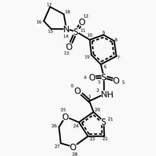 O=C(NS(=O)(=O)c1cccc(S(=O)(=O)N2CCCC2)c1)c1scc2c1OCCO2